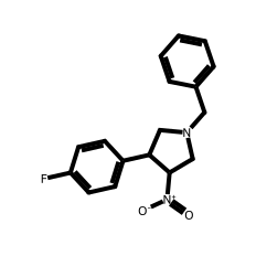 O=[N+]([O-])C1CN(Cc2ccccc2)CC1c1ccc(F)cc1